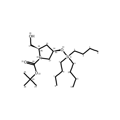 CCCC[Si](CCCC)(CCCC)O[C@@H]1C[C@H](CO)N(C(=O)OC(C)(C)C)C1